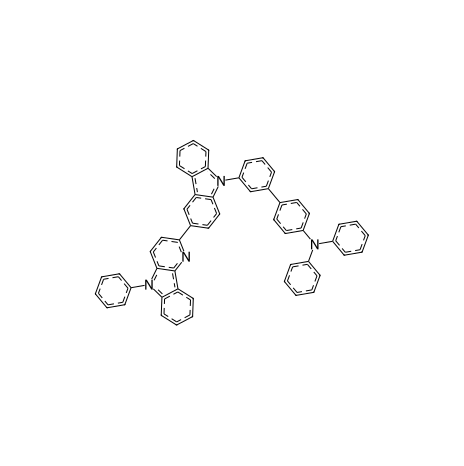 c1ccc(N(c2ccccc2)c2ccc(-c3cccc(-n4c5ccccc5c5cc(-c6ccc7c(n6)c6ccccc6n7-c6ccccc6)ccc54)c3)cc2)cc1